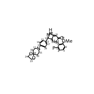 COc1cccc(F)c1-n1nc2c(-c3ccc(N4CCC5(CC4)OCCO5)cc3)n[nH]c2cc1=O